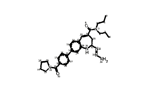 CCCN(CCC)C(=O)C1=Cc2ccc(-c3ccc(C(=O)N4CCCC4)cc3)cc2NC(N=NN)C1